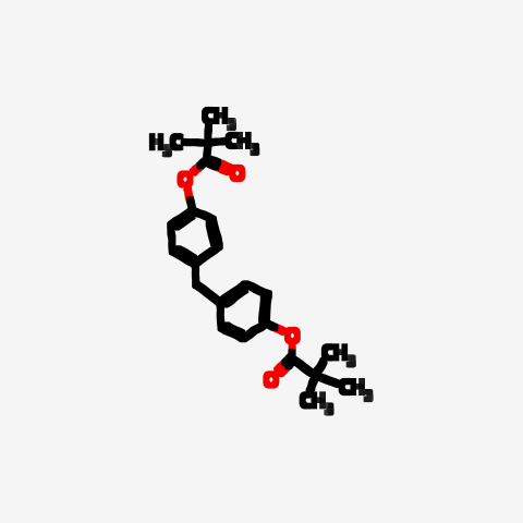 CC(C)(C)C(=O)Oc1ccc(Cc2ccc(OC(=O)C(C)(C)C)cc2)cc1